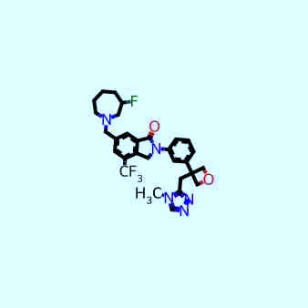 Cn1cnnc1CC1(c2cccc(N3Cc4c(cc(CN5CCCCC(F)C5)cc4C(F)(F)F)C3=O)c2)COC1